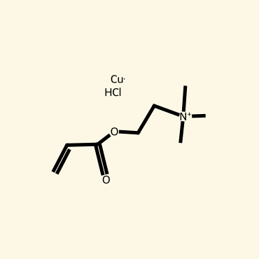 C=CC(=O)OCC[N+](C)(C)C.Cl.[Cu]